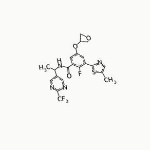 Cc1cnc(-c2cc(OC3COC3)cc(C(=O)NC(C)c3cnc(C(F)(F)F)nc3)c2F)s1